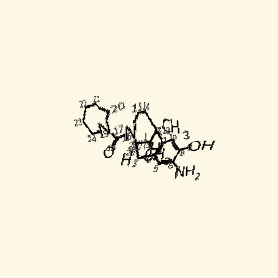 C[C@@H]1[C@H]2Cc3cc(N)c(O)cc3[C@]1(C)CCN2C(=O)N1CCCCC1